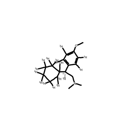 [2H]c1c([2H])c([C@@]([2H])(CN(C)C)C2(O)C([2H])([2H])C([2H])([2H])C([2H])([2H])C([2H])([2H])C2([2H])[2H])c([2H])c([2H])c1OC